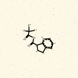 O=C(OC(=O)C(F)(F)F)C1CCc2cccnc21